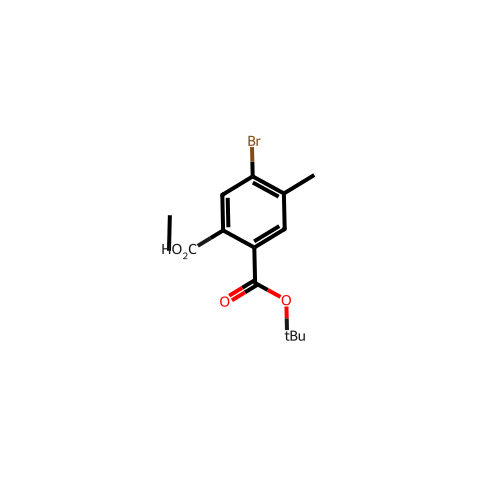 CC.Cc1cc(C(=O)OC(C)(C)C)c(C(=O)O)cc1Br